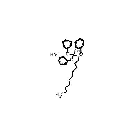 Br.CCCCCCCCCCC(Oc1ccccc1)C(P)(Oc1ccccc1)Oc1ccccc1